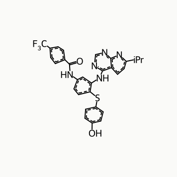 CC(C)c1ccc2c(Nc3cc(NC(=O)c4ccc(C(F)(F)F)cc4)ccc3Sc3ccc(O)cc3)ncnc2n1